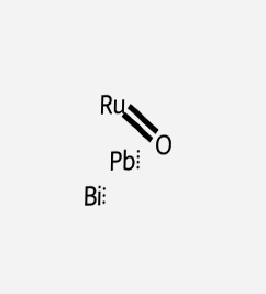 [Bi].[O]=[Ru].[Pb]